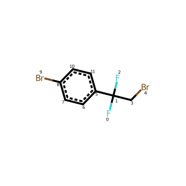 FC(F)(CBr)c1ccc(Br)cc1